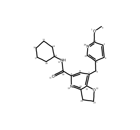 COc1ccc(Cc2cc(C(=O)NC3CCCCC3)nc3c2OCC3)cn1